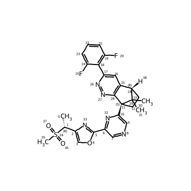 C[C@H](c1coc(-c2cncc([C@@]34CC[C@@H](c5cc(-c6c(F)cccc6F)nnc53)C4(C)C)n2)n1)S(C)(=O)=O